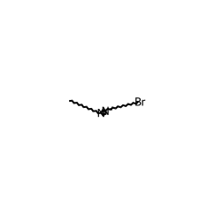 CCCCCCCCCCCCCn1cc[n+](CCCCCCCCCCCCBr)c1